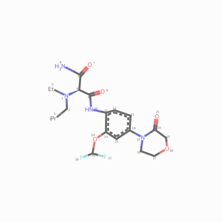 CCN(CC(C)C)[C@@H](C(N)=O)C(=O)Nc1ccc(N2CCOCC2=O)cc1OC(F)F